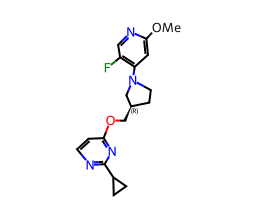 COc1cc(N2CC[C@@H](COc3ccnc(C4CC4)n3)C2)c(F)cn1